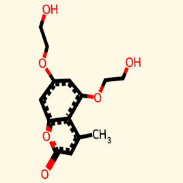 Cc1cc(=O)oc2cc(OCCO)cc(OCCO)c12